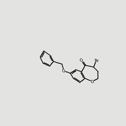 O=C1c2cc(OCc3ccccc3)ccc2OCCC1Br